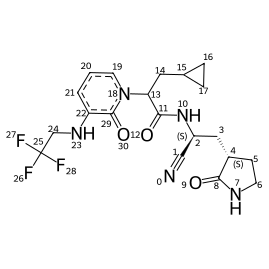 N#C[C@H](C[C@@H]1CCNC1=O)NC(=O)C(CC1CC1)n1cccc(NCC(F)(F)F)c1=O